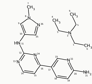 CCN(CC)CC.Cn1cc(Nc2nccc(-c3ccc(N)nc3)n2)cn1